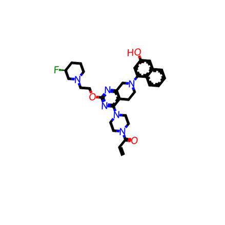 C=CC(=O)N1CCN(c2nc(OCCN3CCC[C@H](F)C3)nc3c2CCN(c2cc(O)cc4ccccc24)C3)CC1